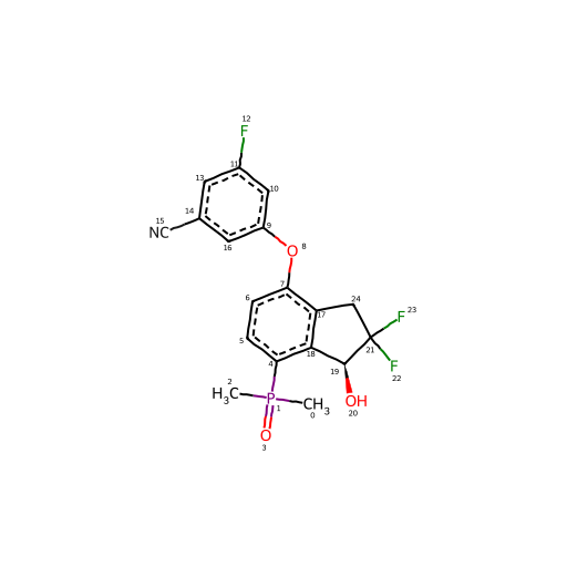 CP(C)(=O)c1ccc(Oc2cc(F)cc(C#N)c2)c2c1[C@H](O)C(F)(F)C2